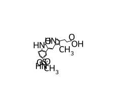 CNS(=O)(=O)c1ccc2c(c1)/C(=C/c1[nH]cc(CCC(=O)O)c1C)C(=O)N2